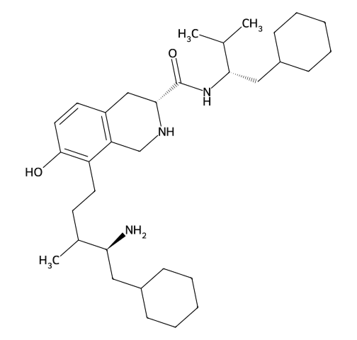 CC(C)[C@H](CC1CCCCC1)NC(=O)[C@H]1Cc2ccc(O)c(CCC(C)[C@@H](N)CC3CCCCC3)c2CN1